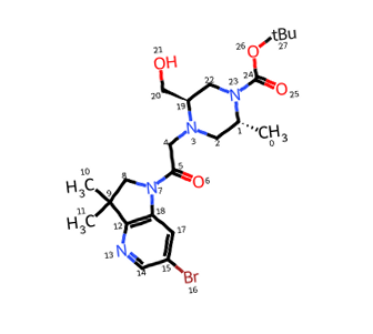 C[C@@H]1CN(CC(=O)N2CC(C)(C)c3ncc(Br)cc32)[C@@H](CO)CN1C(=O)OC(C)(C)C